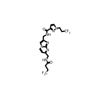 O=C(CCC(F)(F)F)NCc1ccn2cc(CNC(=O)c3ccn(CCC(F)(F)F)n3)nc2n1